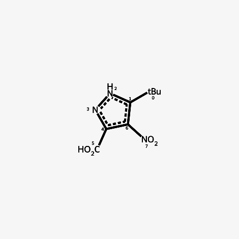 CC(C)(C)c1[nH]nc(C(=O)O)c1[N+](=O)[O-]